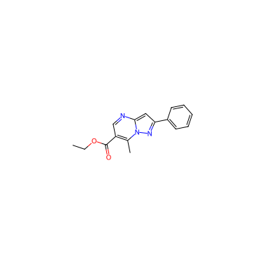 CCOC(=O)c1cnc2cc(-c3ccccc3)nn2c1C